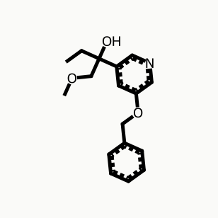 CCC(O)(COC)c1cncc(OCc2ccccc2)c1